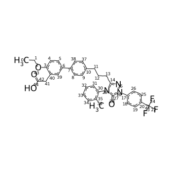 CCOc1ccc(-c2ccc(CCCc3nn(-c4ccc(C(F)(F)F)cc4)c(=O)n3-c3ccccc3C)cc2)cc1CC(=O)O